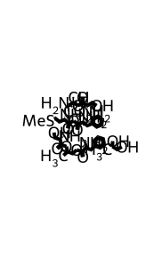 CC(COC(=O)[C@@H](N)Cc1ccccc1)OC(=O)[C@@H](N)CO.CC(O)CO.CSCC[C@H](N)C(=O)OC(=O)[C@@H](N)Cc1ccccc1.C[C@@H](OC(=O)[C@@H](N)CO)[C@H](N)C(=O)O